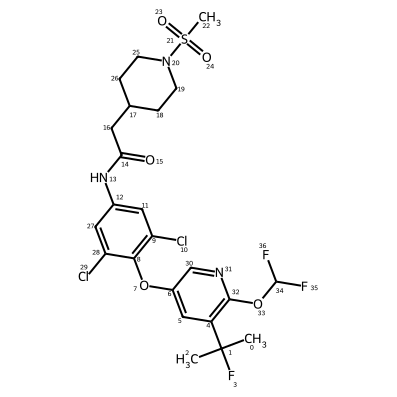 CC(C)(F)c1cc(Oc2c(Cl)cc(NC(=O)CC3CCN(S(C)(=O)=O)CC3)cc2Cl)cnc1OC(F)F